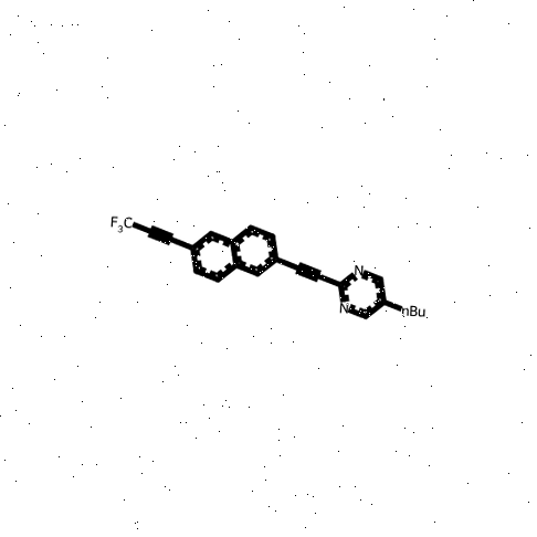 CCCCc1cnc(C#Cc2ccc3cc(C#CC(F)(F)F)ccc3c2)nc1